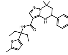 CCC(CC)(NC(=O)c1cnn2c1NC(c1ccccc1)CC2(C)C)c1ccc(C)s1